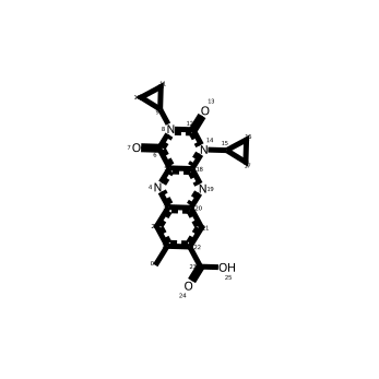 Cc1cc2nc3c(=O)n(C4CC4)c(=O)n(C4CC4)c3nc2cc1C(=O)O